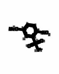 COc1ccc([N+](=O)[O-])c(S(=O)(=O)C(C)C)n1